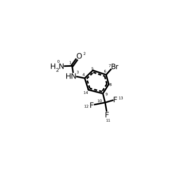 NC(=O)Nc1cc(Br)cc(C(F)(F)F)c1